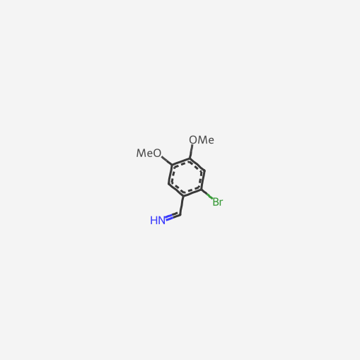 COc1cc(Br)c(C=N)cc1OC